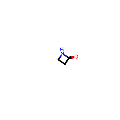 O=C1C[CH]N1